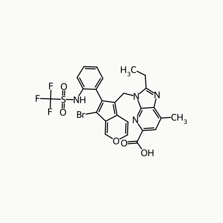 CCc1nc2c(C)cc(C(=O)O)nc2n1Cc1c2ccocc-2c(Br)c1-c1ccccc1NS(=O)(=O)C(F)(F)F